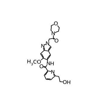 COc1cc2nn(CC(=O)N3CCOCC3)cc2cc1NC(=O)c1cccc(CCO)n1